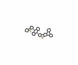 c1ccc2c(c1)sc1c(-c3c4ccccc4c(-c4ccc5sc6cc7c8ccccc8c8ccccc8c7cc6c5c4)c4ccccc34)cccc12